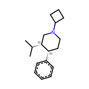 CC(C)[C@@H]1CN(C2CCC2)CC[C@@H]1c1ccccc1